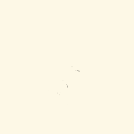 COCOc1ccc(F)cc1[C@@H]1CCC[C@@H]1C(=O)N(C)OC